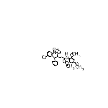 COc1cc(OC)c(NC(=O)CCC2C(=O)N(C)c3ccc(Cl)cc3C2c2ccccc2)c(OC)c1